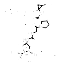 CCCCCCCCC1C[C@]1(NC(=O)[C@@H]1CCCN1C(=O)CNC(=O)NC(CN(C)S(=O)(=O)N(C)C)C(C)(C)C)C(=O)O